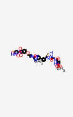 CN(CC(=O)N1CC(COc2ccc3c(c2)C(=O)N(C2CCC(=O)NC2=O)C3=O)C1)c1cc(-c2cccc(-c3csc(NC(=O)CNC(=O)c4ccn(S(C)(=O)=O)c4)n3)c2)ccn1